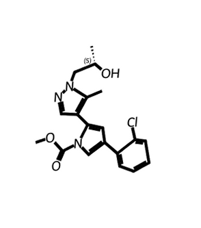 COC(=O)n1cc(-c2ccccc2Cl)cc1-c1cnn(C[C@H](C)O)c1C